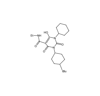 CCNC(=O)c1c(O)n(C2CCCCC2)c(=O)n(C2CCC(C(C)(C)C)CC2)c1=O